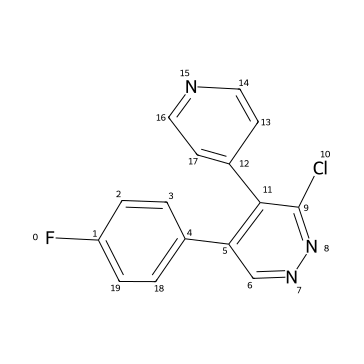 Fc1ccc(-c2cnnc(Cl)c2-c2ccncc2)cc1